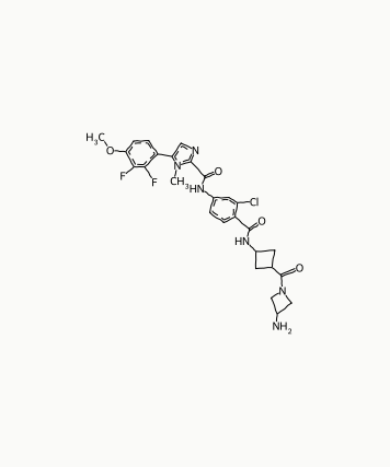 COc1ccc(-c2cnc(C(=O)Nc3ccc(C(=O)NC4CC(C(=O)N5CC(N)C5)C4)c(Cl)c3)n2C)c(F)c1F